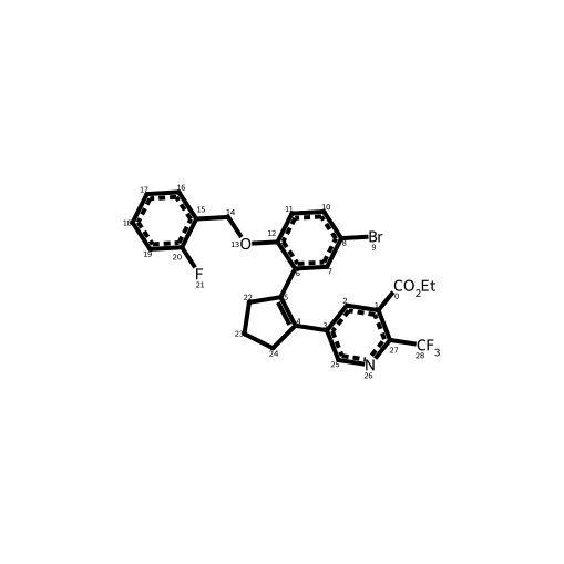 CCOC(=O)c1cc(C2=C(c3cc(Br)ccc3OCc3ccccc3F)CCC2)cnc1C(F)(F)F